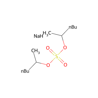 CCCCC(C)OS(=O)(=O)OC(C)CCCC.[NaH]